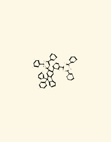 C1=CCCC(c2nc(-c3ccccc3)nc(-c3cccc(-c4cc5c(cc4-c4cc(-c6ccccc6)nc(-c6ccccc6)n4)C(c4ccccc4)(c4ccccc4)c4ccccc4-5)c3)n2)=C1